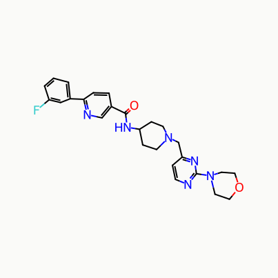 O=C(NC1CCN(Cc2ccnc(N3CCOCC3)n2)CC1)c1ccc(-c2cccc(F)c2)nc1